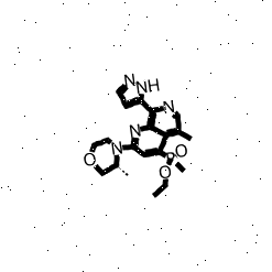 CCOP(C)(=O)c1cc(N2CCOC[C@H]2C)nc2c(-c3ccn[nH]3)ncc(C)c12